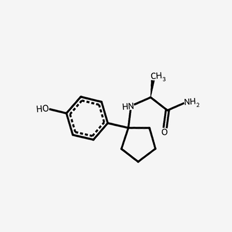 C[C@H](NC1(c2ccc(O)cc2)CCCC1)C(N)=O